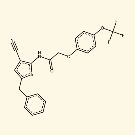 N#Cc1cc(Cc2ccccc2)sc1NC(=O)COc1ccc(OC(F)(F)F)cc1